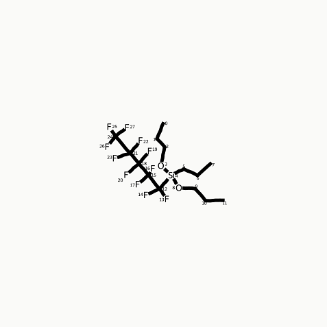 CCCO[Si](CCC)(OCCC)C(F)(F)C(F)(F)C(F)(F)C(F)(F)C(F)(F)F